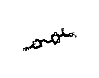 CCCC1CCC(CCC2COC(/C(F)=C/C(F)(F)F)OC2)CC1